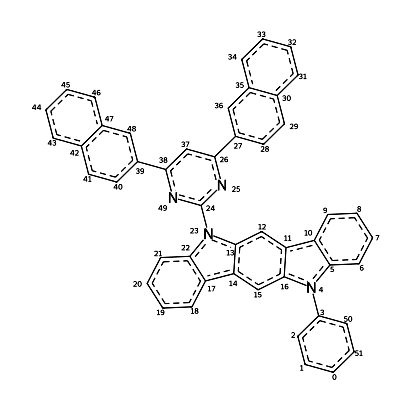 c1ccc(-n2c3ccccc3c3cc4c(cc32)c2ccccc2n4-c2nc(-c3ccc4ccccc4c3)cc(-c3ccc4ccccc4c3)n2)cc1